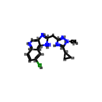 Cn1nc(Cc2nc3cnc4ccc(Cl)cc4c3[nH]2)nc1C1CC1